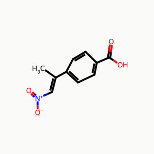 CC(=C[N+](=O)[O-])c1ccc(C(=O)O)cc1